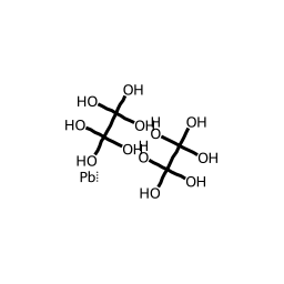 OC(O)(O)C(O)(O)O.OC(O)(O)C(O)(O)O.[Pb]